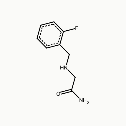 NC(=O)CNCc1ccccc1F